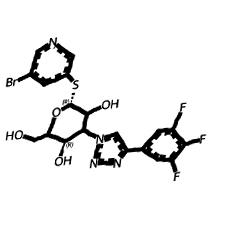 OCC1O[C@H](Sc2cncc(Br)c2)C(O)C(n2cc(-c3cc(F)c(F)c(F)c3)nn2)[C@H]1O